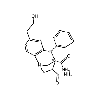 NC(=O)C1CN2C[C@@]1(C(N)=O)N(c1ccccn1)c1nc(CCO)ccc12